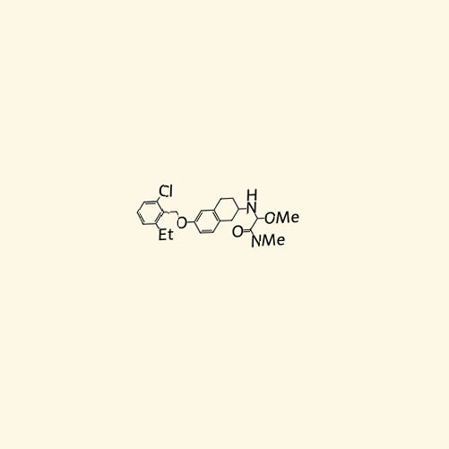 CCc1cccc(Cl)c1COc1ccc2c(c1)CCC(NC(OC)C(=O)NC)C2